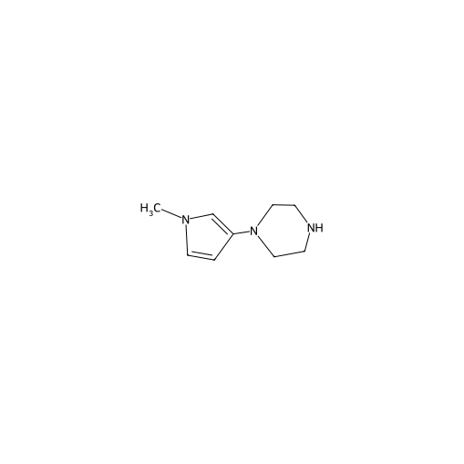 Cn1ccc(N2CCNCC2)c1